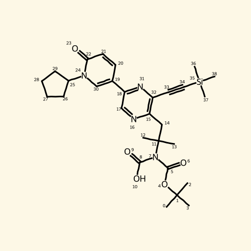 CC(C)(C)OC(=O)N(C(=O)O)C(C)(C)Cc1ncc(-c2ccc(=O)n(C3CCCC3)c2)nc1C#C[Si](C)(C)C